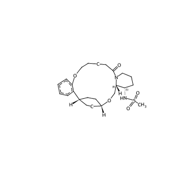 CS(=O)(=O)N[C@H]1CCCN2C(=O)CCCCOc3ccccc3[C@H]3CC[C@H](CC3)OC[C@@H]12